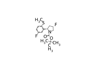 CSc1ccc(F)cc1[C@H]1C[C@H](F)CN1C(=O)OC(C)(C)C